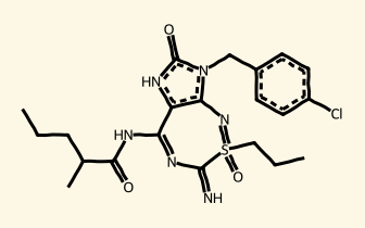 CCCC(C)C(=O)NC1=NC(=N)S(=O)(CCC)=Nc2c1[nH]c(=O)n2Cc1ccc(Cl)cc1